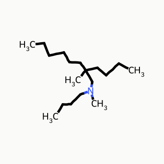 CCCCCCC(C)(CCCC)CN(C)CCCC